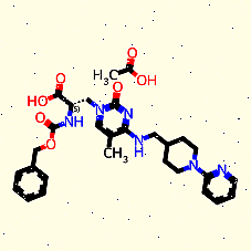 CC(=O)O.Cc1cn(C[C@H](NC(=O)OCc2ccccc2)C(=O)O)c(=O)nc1NCC1CCN(c2ccccn2)CC1